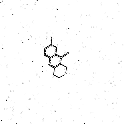 O=c1c2c(oc3ccc(Br)cc13)CCOC2